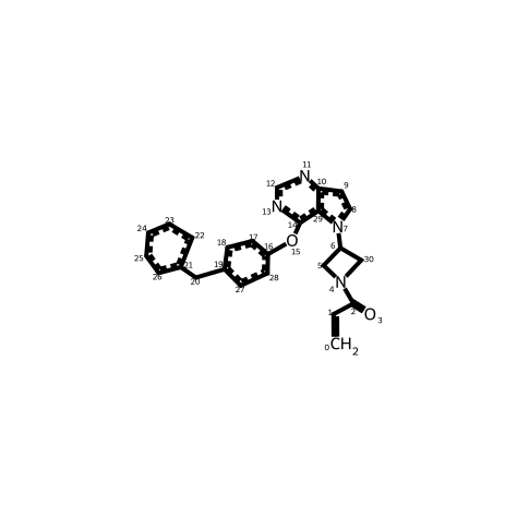 C=CC(=O)N1CC(n2ccc3ncnc(Oc4ccc(Cc5ccccc5)cc4)c32)C1